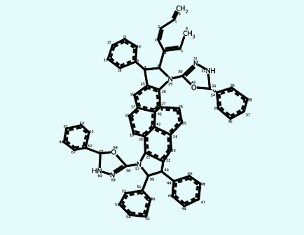 C=C/C=C\C(=C/C)C1C(c2ccccc2)c2cc3ccc4c5c(cc6ccc(c2N1C1=NN[C@H](c2ccccc2)O1)c3c64)C(c1ccccc1)C(c1ccccc1)N5C1=NNC(c2ccccc2)O1